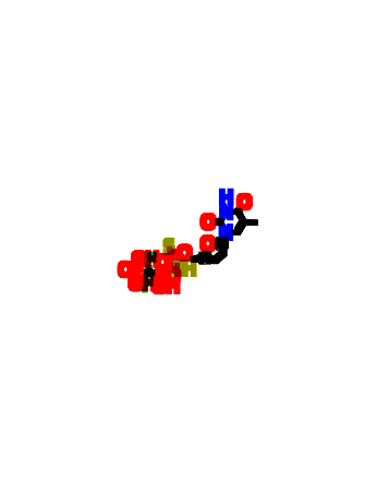 Cc1cn([C@H]2C=C[C@@H](COP(=S)(S)OP(=O)(O)C(F)(F)P(=O)(O)O)O2)c(=O)[nH]c1=O